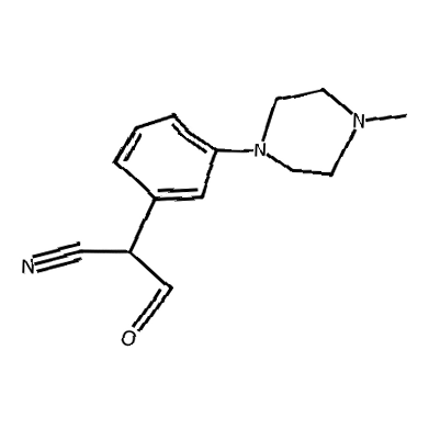 CN1CCN(c2cccc(C(C#N)C=O)c2)CC1